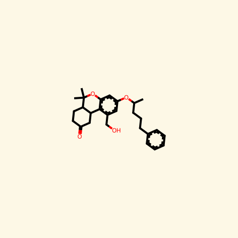 CC(CCCc1ccccc1)Oc1cc(CO)c2c(c1)OC(C)(C)C1CCC(=O)CC21